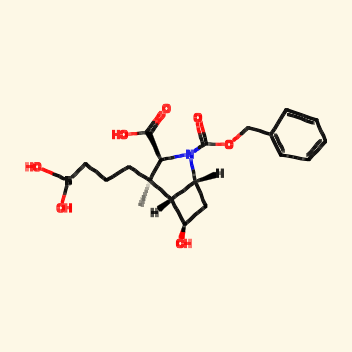 C[C@@]1(CCCB(O)O)[C@H]2[C@H](O)C[C@H]2N(C(=O)OCc2ccccc2)[C@@H]1C(=O)O